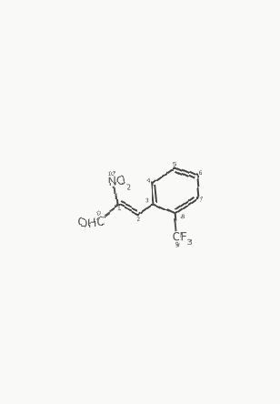 O=CC(=Cc1ccccc1C(F)(F)F)[N+](=O)[O-]